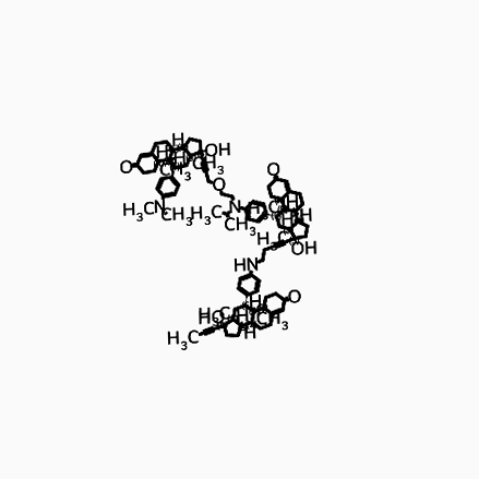 CC#C[C@]1(O)CC[C@H]2[C@@H]3CCC4=CC(=O)CC[C@]4(C)[C@H]3[C@@H](c3ccc(NCCC#C[C@]4(O)CC[C@H]5[C@@H]6CCC7=CC(=O)CC[C@]7(C)[C@H]6[C@@H](c6ccc(N(CCOCC#C[C@]7(O)CC[C@H]8[C@@H]9CCC%10=CC(=O)CC[C@]%10(C)[C@H]9[C@@H](c9ccc(N(C)C)cc9)C[C@@]87C)C(C)C)cc6)C[C@@]54C)cc3)C[C@@]21C